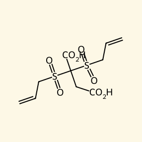 C=CCS(=O)(=O)C(CC(=O)O)(C(=O)O)S(=O)(=O)CC=C